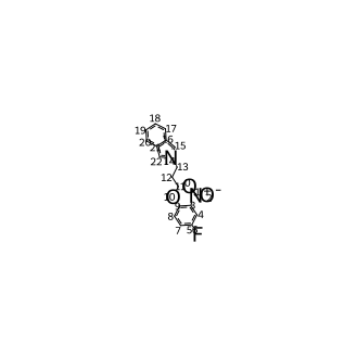 O=[N+]([O-])c1cc(F)ccc1OCCCn1cc2ccccc2c1